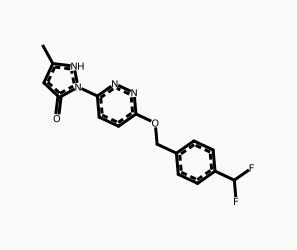 Cc1cc(=O)n(-c2ccc(OCc3ccc(C(F)F)cc3)nn2)[nH]1